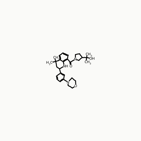 CC1(C)CC(c2cccc(N3CCOCC3)c2)Nc2c(C(=O)N3CCC(C(C)(C)O)C3)cccc21